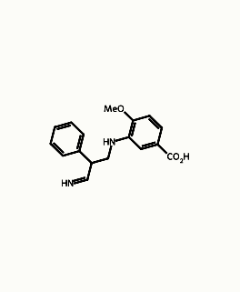 COc1ccc(C(=O)O)cc1NCC(C=N)c1ccccc1